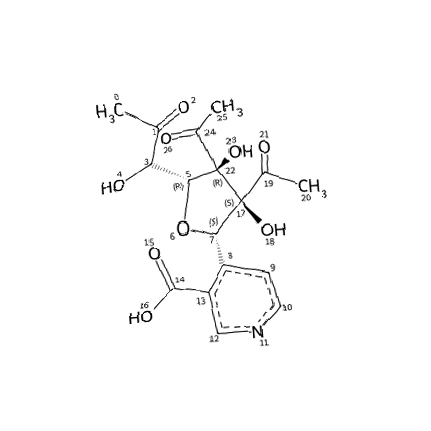 CC(=O)C(O)[C@H]1O[C@@H](c2ccncc2C(=O)O)[C@@](O)(C(C)=O)[C@@]1(O)C(C)=O